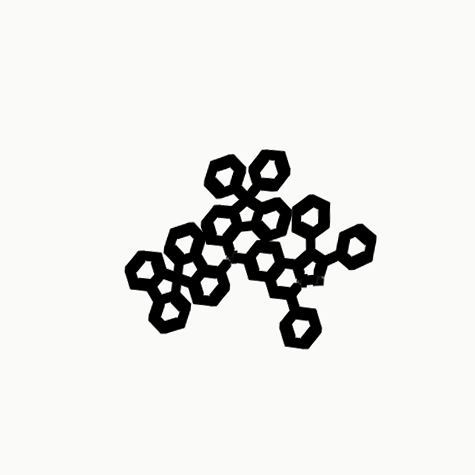 c1ccc(-c2nn3c(-c4ccccc4)cc4cc(N(c5cccc6c5-c5ccccc5C6(c5ccccc5)c5ccccc5)c5cccc6c5-c5ccccc5C65c6ccccc6-c6ccccc65)ccc4c3c2-c2ccccc2)cc1